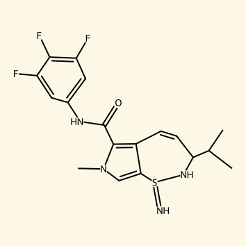 CC(C)C1C=Cc2c(cn(C)c2C(=O)Nc2cc(F)c(F)c(F)c2)S(=N)N1